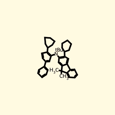 CC1(C)c2ccccc2-c2cc(C3CCCCC3)c(N(c3cc(-c4ccccc4)ccc3C3CCCCC3)C(C)(C)C)cc21